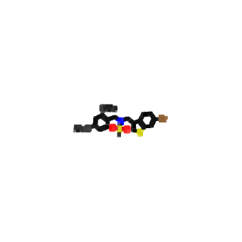 COc1ccc(CN(Cc2csc3cc(Br)ccc23)S(C)(=O)=O)c(OC)c1